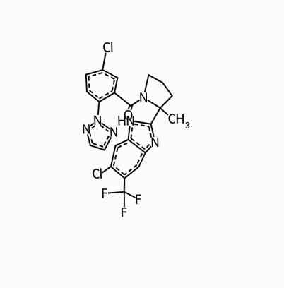 CC1(c2nc3cc(C(F)(F)F)c(Cl)cc3[nH]2)CCCN1C(=O)c1cc(Cl)ccc1-n1nccn1